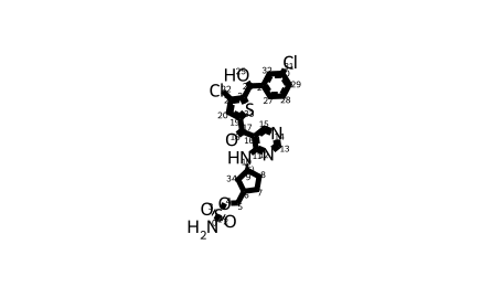 NS(=O)(=O)OCC1CC[C@H](Nc2ncncc2C(=O)c2cc(Cl)c(C(O)c3cccc(Cl)c3)s2)C1